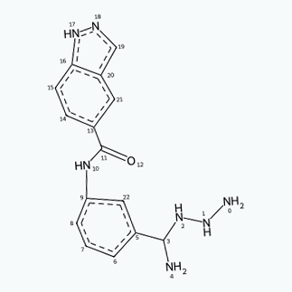 NNNC(N)c1cccc(NC(=O)c2ccc3[nH]ncc3c2)c1